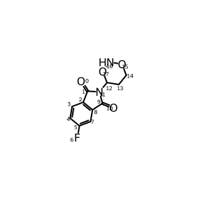 O=C1c2ccc(F)cc2C(=O)N1C1CCONO1